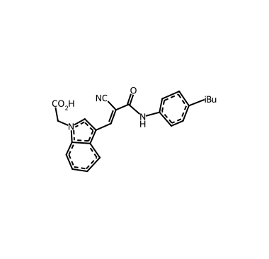 CCC(C)c1ccc(NC(=O)/C(C#N)=C/c2cn(CC(=O)O)c3ccccc23)cc1